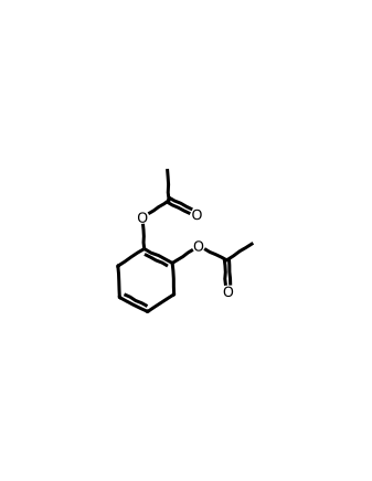 CC(=O)OC1=C(OC(C)=O)CC=CC1